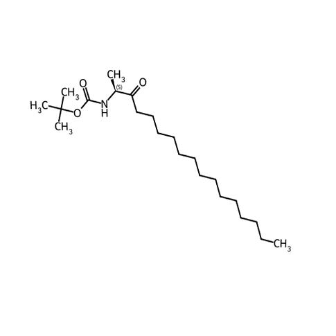 CCCCCCCCCCCCCCC(=O)[C@H](C)NC(=O)OC(C)(C)C